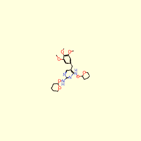 COc1cc(Cc2cnc(NOC3CCCCO3)nc2NOC2CCCCO2)cc(OC)c1OC